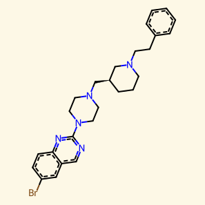 Brc1ccc2nc(N3CCN(C[C@@H]4CCCN(CCc5ccccc5)C4)CC3)ncc2c1